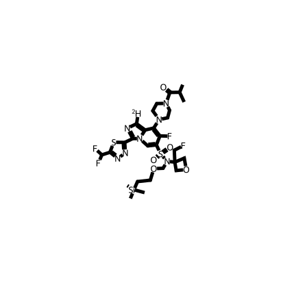 [2H]c1nc(-c2nnc(C(F)F)s2)n2cc(S(=O)(=O)N(COCC[Si](C)(C)C)C3(CF)COC3)c(F)c(N3CCN(C(=O)C(C)C)CC3)c12